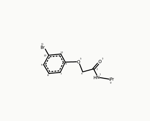 CC(C)NC(=O)COc1cccc(Br)c1